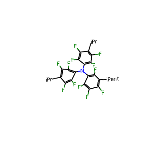 CCCC(C)c1c(F)c(F)c(F)c(N(c2c(F)c(F)c(C(C)C)c(F)c2F)c2c(F)c(F)c(C(C)C)c(F)c2F)c1F